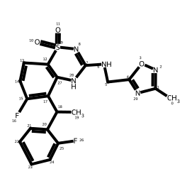 Cc1noc(CNC2=NS(=O)(=O)c3ccc(F)c(C(C)c4ccccc4F)c3N2)n1